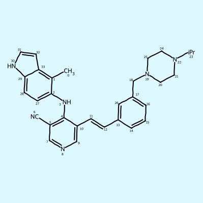 Cc1c(Nc2c(C#N)cncc2C=Cc2cccc(CN3CCN(C(C)C)CC3)c2)ccc2[nH]ccc12